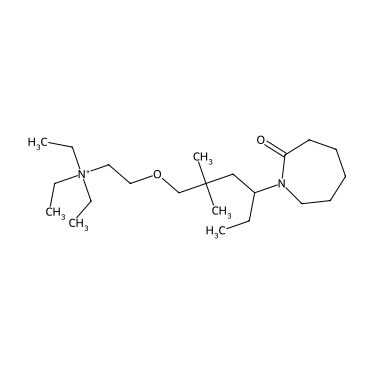 CCC(CC(C)(C)COCC[N+](CC)(CC)CC)N1CCCCCC1=O